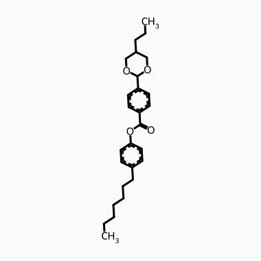 CCCCCCCc1ccc(OC(=O)c2ccc(C3OCC(CCC)CO3)cc2)cc1